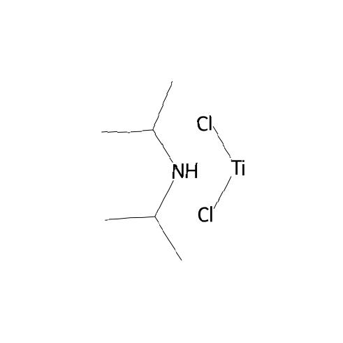 CC(C)NC(C)C.[Cl][Ti][Cl]